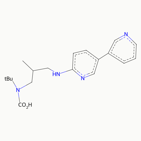 CC(CNc1ccc(-c2cccnc2)cn1)CN(C(=O)O)C(C)(C)C